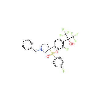 O=S(=O)(c1ccc(F)cc1)C1(c2ccc(C(O)(C(F)(F)F)C(F)(F)F)c(F)c2)CCN(Cc2ccccc2)C1